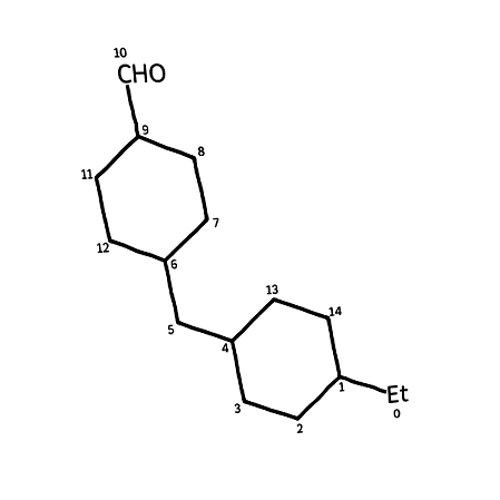 CCC1CCC(CC2CCC(C=O)CC2)CC1